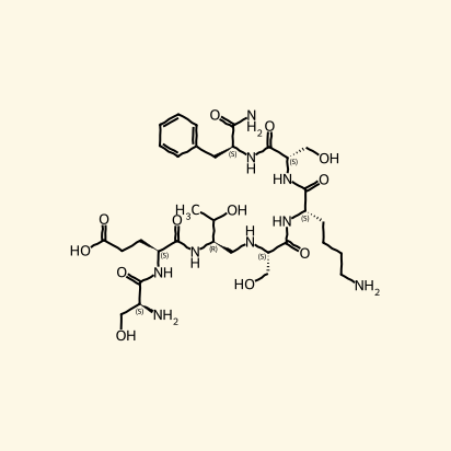 CC(O)[C@@H](CN[C@@H](CO)C(=O)N[C@@H](CCCCN)C(=O)N[C@@H](CO)C(=O)N[C@@H](Cc1ccccc1)C(N)=O)NC(=O)[C@H](CCC(=O)O)NC(=O)[C@@H](N)CO